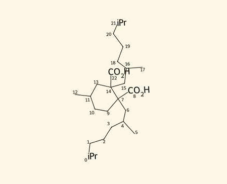 CC(C)CCCC(C)CC1(C(=O)O)CCC(C)CC1(CC(C)CCCC(C)C)C(=O)O